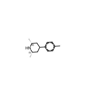 Cc1ccc(C2C[C@@H](C)N[C@@H](C)C2)cc1